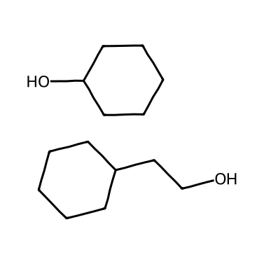 OC1CCCCC1.OCCC1CCCCC1